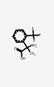 CC(N)(C(=O)O)c1ccccc1C(F)(F)F